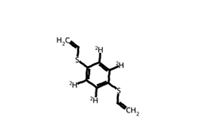 [2H]c1c([2H])c(SC=C)c([2H])c([2H])c1SC=C